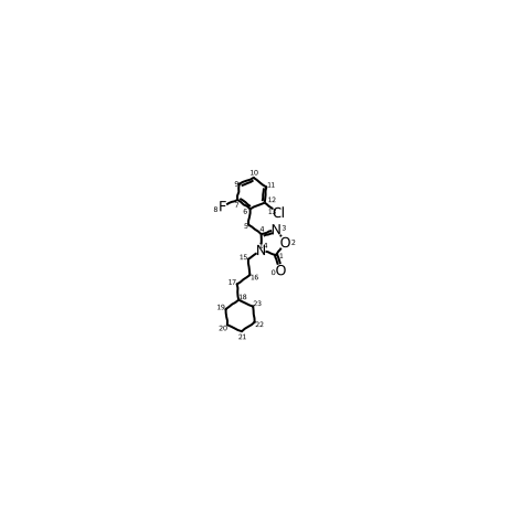 O=c1onc(Cc2c(F)cccc2Cl)n1CCCC1CCCCC1